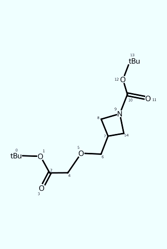 CC(C)(C)OC(=O)COCC1CN(C(=O)OC(C)(C)C)C1